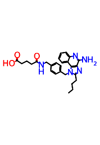 CCCCc1nc2c(N)nc3ccccc3c2n1Cc1ccc(CNC(=O)CCCC(=O)O)cc1